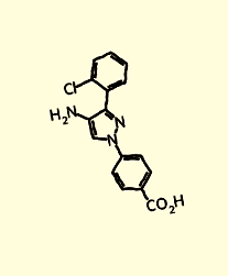 Nc1cn(-c2ccc(C(=O)O)cc2)nc1-c1ccccc1Cl